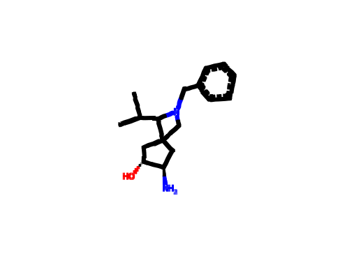 CC(C)C1N(Cc2ccccc2)CC12C[C@@H](N)[C@H](O)C2